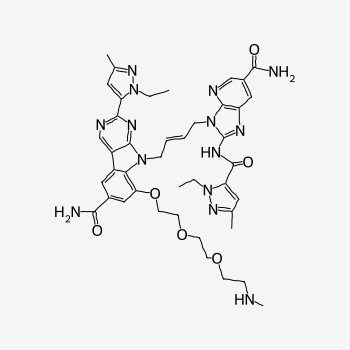 CCn1nc(C)cc1C(=O)Nc1nc2cc(C(N)=O)cnc2n1C/C=C/Cn1c2nc(-c3cc(C)nn3CC)ncc2c2cc(C(N)=O)cc(OCCOCCOCCNC)c21